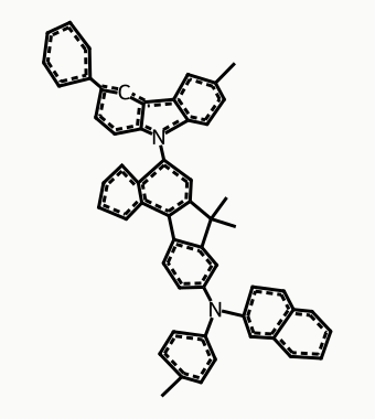 Cc1ccc(N(c2ccc3c(c2)C(C)(C)c2cc(-n4c5ccc(C)cc5c5cc(-c6ccccc6)ccc54)c4ccccc4c2-3)c2ccc3ccccc3c2)cc1